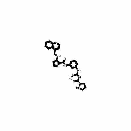 N#CN=C(NC(=O)[C@H]1CCCN1)Nc1cccc(NC(=O)c2sccc2NCc2ccnc3ccccc23)c1